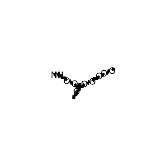 C=CCOCC(C)(COCCOCCN=[N+]=[N-])COCCOCCOCOCCOC